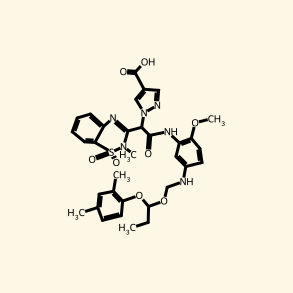 CCC(OCNc1ccc(OC)c(NC(=O)C(C2=Nc3ccccc3S(=O)(=O)N2C)n2cc(C(=O)O)cn2)c1)Oc1ccc(C)cc1C